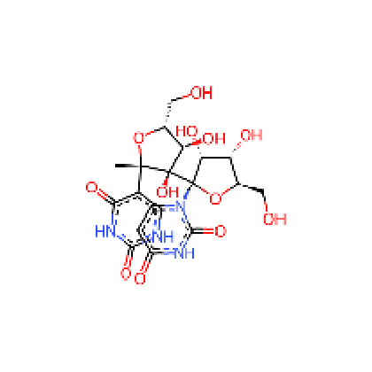 C[C@@]1(c2c[nH]c(=O)[nH]c2=O)O[C@H](CO)[C@@H](O)[C@]1(O)[C@@]1(n2ccc(=O)[nH]c2=O)O[C@H](CO)[C@@H](O)[C@H]1O